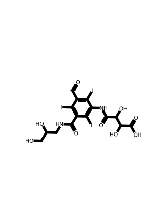 O=[C]c1c(I)c(NC(=O)C(O)C(O)C(=O)O)c(I)c(C(=O)NCC(O)CO)c1I